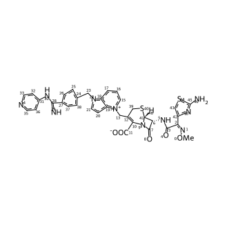 CO/N=C(\C(=O)N[C@@H]1C(=O)N2C(C(=O)[O-])=C(C[n+]3cccc4c3ccn4Cc3ccc(C(=N)Nc4ccncc4)cc3)CS[C@H]12)c1csc(N)n1